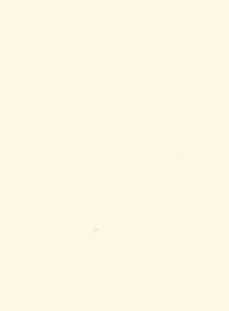 CS(=O)(=O)c1c(F)cccc1-c1ccccc1.Cl